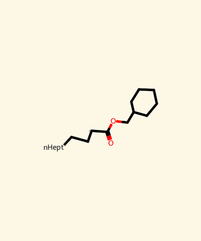 CCCCCCCCC[CH]C(=O)OCC1CCCCC1